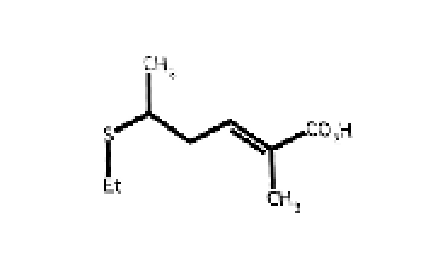 CCSC(C)CC=C(C)C(=O)O